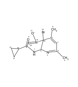 CC1=CC(C)=NC(NC(=O)C2CC2)C1(Br)[N+](=O)[O-]